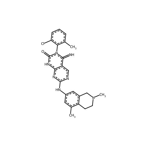 Cc1cc(Nc2ncc3c(=N)n(-c4c(C)cccc4Cl)c(=O)[nH]c3n2)cc2c1CCN(C)C2